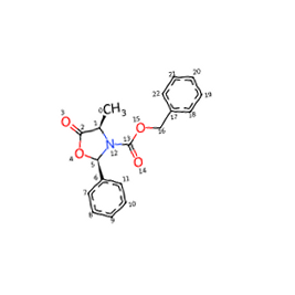 C[C@@H]1C(=O)O[C@H](c2ccccc2)N1C(=O)OCc1ccccc1